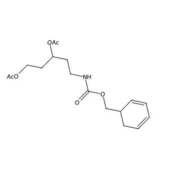 CC(=O)OCCC(CCNC(=O)OCC1C=CC=CC1)OC(C)=O